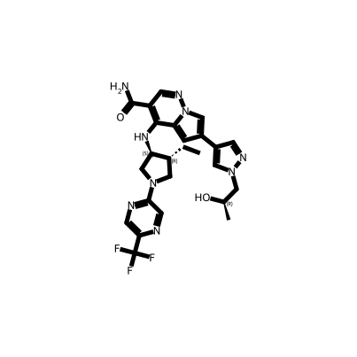 CC[C@@H]1CN(c2cnc(C(F)(F)F)cn2)C[C@H]1Nc1c(C(N)=O)cnn2cc(-c3cnn(C[C@@H](C)O)c3)cc12